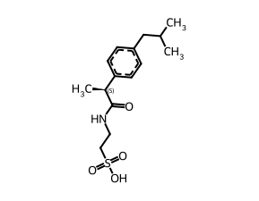 CC(C)Cc1ccc([C@H](C)C(=O)NCCS(=O)(=O)O)cc1